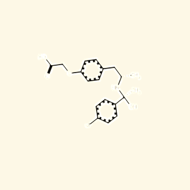 C[C@@H](Cc1ccc(OCC(=O)O)cc1)N[C@@](C)(O)c1ccc(Cl)cc1